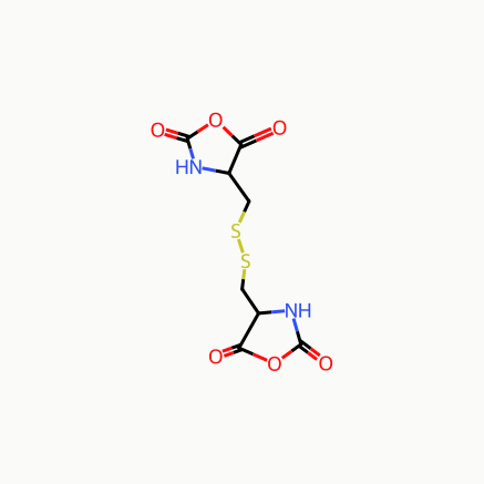 O=C1NC(CSSCC2NC(=O)OC2=O)C(=O)O1